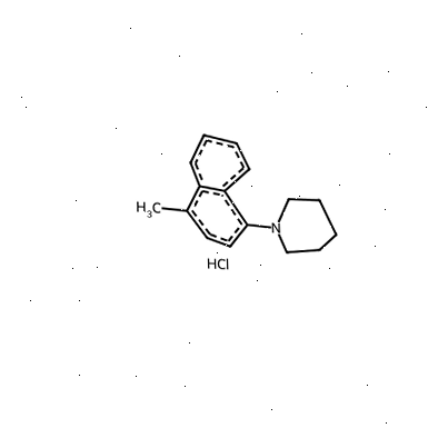 Cc1ccc(N2CCCCC2)c2ccccc12.Cl